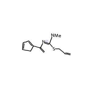 C=CCS/C(=N\C(=C)C1=CC=CC1)NC